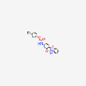 CCc1ccc(OCC(=O)NC2=CC(=O)C(=C3Nc4ccccc4O3)C=C2)cc1